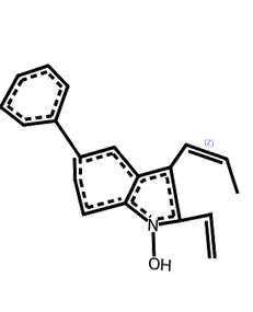 C=Cc1c(/C=C\C)c2cc(-c3ccccc3)ccc2n1O